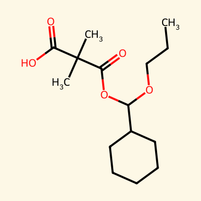 CCCOC(OC(=O)C(C)(C)C(=O)O)C1CCCCC1